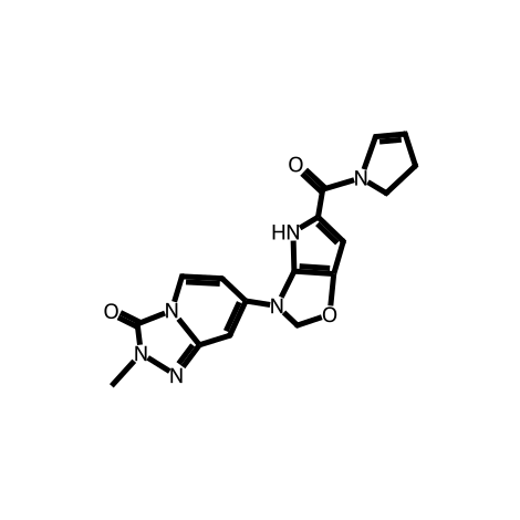 Cn1nc2cc(N3COc4cc(C(=O)N5C=CCC5)[nH]c43)ccn2c1=O